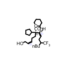 CCCCC(C/C=C(/OC1CCCCO1)[C@](CC/C=C\CO)(C(=O)O)C1CCCC1)C(F)(F)F